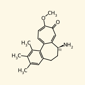 COc1ccc2c(cc1=O)[C@@H](N)CCc1cc(C)c(C)c(C)c1-2